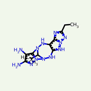 CCc1nc2c3c([nH]n2n1)NN1C(C(C)C)N(N3)c2c(N)c(N)nn21